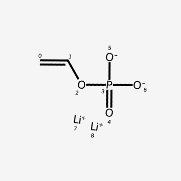 C=COP(=O)([O-])[O-].[Li+].[Li+]